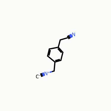 [C-]#[N+]Cc1ccc(CC#N)cc1